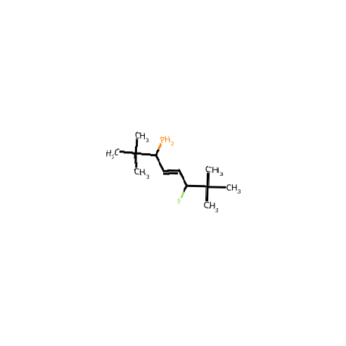 CC(C)(C)C(F)C=CC(P)C(C)(C)C